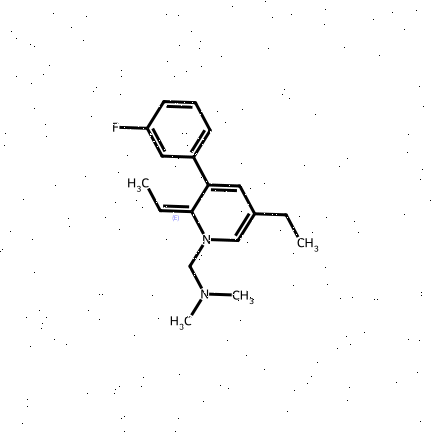 C/C=C1\C(c2cccc(F)c2)=CC(CC)=CN1CN(C)C